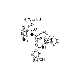 C[C@H](O/N=C(\C(=O)NC1C(=O)N2C(C(=O)O)=C(C[N+]3(CCCNC(=O)c4ccc(O)c(O)c4)CCCCC3)CSC12)c1nc(N)sc1Cl)C(=O)O